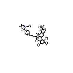 CNc1ncc2cc(-c3c(Cl)c(OC)cc(OC)c3Cl)c3nc(CCCN4CCN(C(=O)/C(C#N)=C\C(C)(C)C)CC4)nn3c2n1